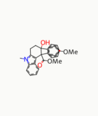 COC(=O)C1(c2ccccc2)c2c(n(C)c3ccccc23)CCC1(O)c1ccc(OC)cc1